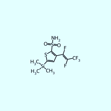 C[Si](C)(C)c1cc(C(F)=C(F)C(F)(F)F)c(S(N)(=O)=O)s1